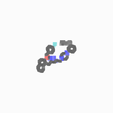 COc1cccc(N2CCN(CCCC(N)Cc3c(OCc4ccc(F)cc4)ccc4ccccc34)CC2)c1